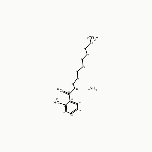 N.O=C(O)CCCCCCCCCC(=O)c1ccccc1O